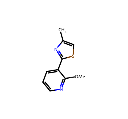 COc1ncccc1-c1nc(C)cs1